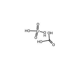 O=C(O)O.[O]=[Cr](=[O])([OH])[OH]